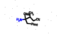 CCCC(C)CC(N)(OC)C(C)CC#N